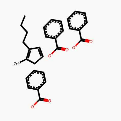 CCCCC1=[C]([Zr+3])CC=C1.O=C([O-])c1ccccc1.O=C([O-])c1ccccc1.O=C([O-])c1ccccc1